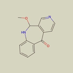 COC1Nc2ccccc2C(=O)c2ccncc21